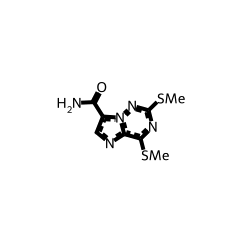 CSc1nc(SC)c2ncc(C(N)=O)n2n1